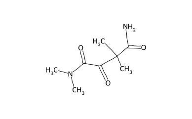 CN(C)C(=O)C(=O)C(C)(C)C(N)=O